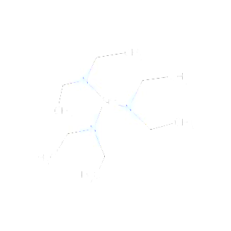 CCN(CC)[SiH](N(CC)CC)N(CC)CC